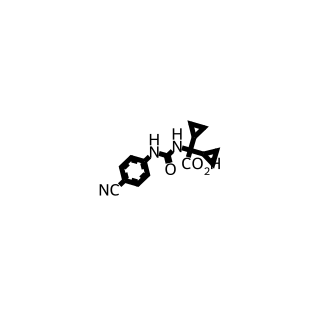 N#Cc1ccc(NC(=O)NC(C(=O)O)(C2CC2)C2CC2)cc1